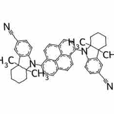 CC12CCCCC1(C)N(c1ccc3ccc4c(N5c6ccc(C#N)cc6C6(C)CCCCC56C)ccc5ccc1c3c54)c1ccc(C#N)cc12